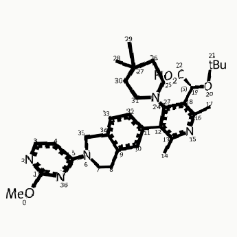 COc1nccc(N2CCc3cc(-c4c(C)nc(C)c([C@H](OC(C)(C)C)C(=O)O)c4N4CCC(C)(C)CC4)ccc3C2)n1